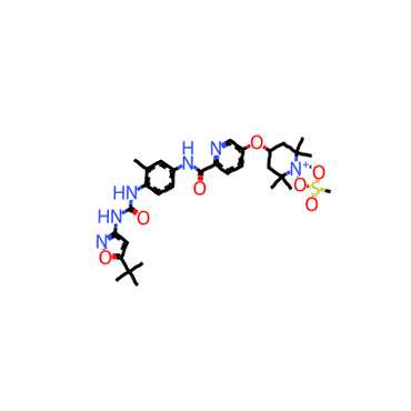 Cc1cc(NC(=O)c2ccc(OC3CC(C)(C)[N+](C)(OS(C)(=O)=O)C(C)(C)C3)cn2)ccc1NC(=O)Nc1cc(C(C)(C)C)on1